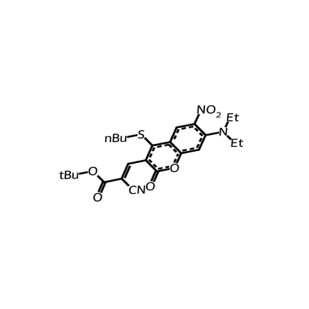 CCCCSc1c(C=C(C#N)C(=O)OC(C)(C)C)c(=O)oc2cc(N(CC)CC)c([N+](=O)[O-])cc12